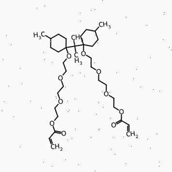 C=CC(=O)OCCOCCOCCOC1(C(C)(C)C2(OCCOCCOCCOC(=O)C=C)CCC(C)CC2)CCC(C)CC1